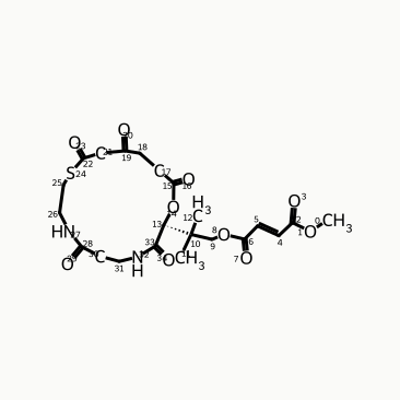 COC(=O)/C=C/C(=O)OCC(C)(C)[C@H]1OC(=O)CCC(=O)CC(=O)SCCNC(=O)CCNC1=O